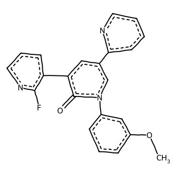 COc1cccc(-n2cc(-c3ccccn3)cc(-c3cccnc3F)c2=O)c1